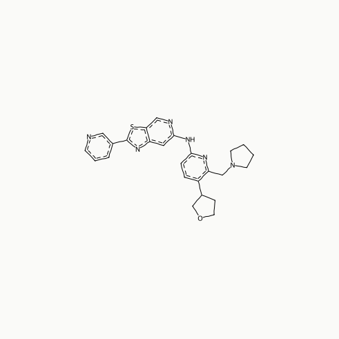 c1cncc(-c2nc3cc(Nc4ccc(C5CCOC5)c(CN5CCCC5)n4)ncc3s2)c1